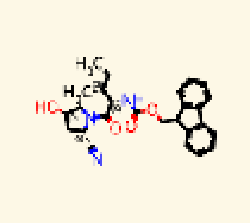 CC[C@H](C)[C@H](NC(=O)OCC1c2ccccc2-c2ccccc21)C(=O)N1C[C@H](O)C[C@H]1C#N